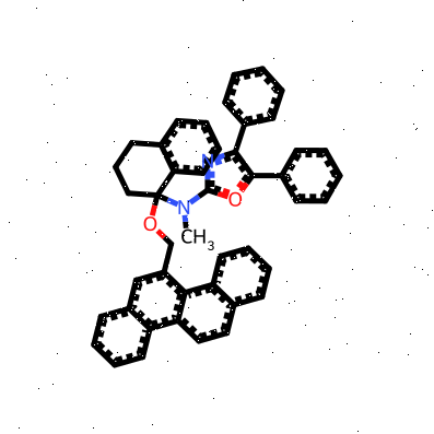 CN(c1nc(-c2ccccc2)c(-c2ccccc2)o1)C1(OCc2cc3ccccc3c3ccc4ccccc4c23)CCCc2ccccc21